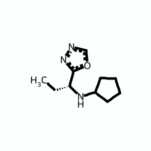 CC[C@@H](NC1CCCC1)c1nnco1